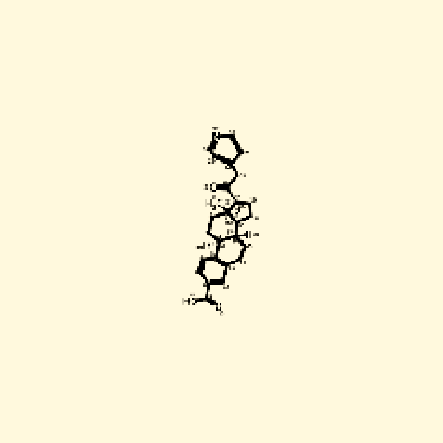 C[C@]12CC[C@@H]3c4ccc(C(=O)O)cc4CC[C@H]3[C@@H]1CC[C@@H]2C(=O)Cc1ccncc1